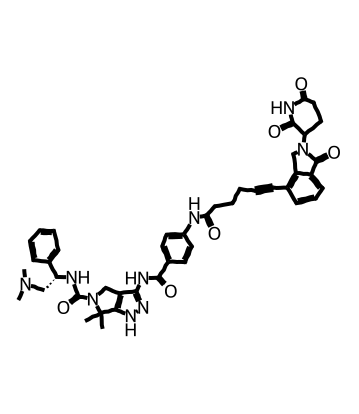 CN(C)C[C@@H](NC(=O)N1Cc2c(NC(=O)c3ccc(NC(=O)CCCC#Cc4cccc5c4CN(C4CCC(=O)NC4=O)C5=O)cc3)n[nH]c2C1(C)C)c1ccccc1